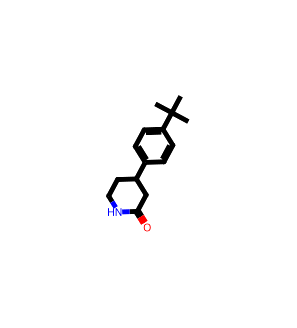 CC(C)(C)c1ccc(C2CCNC(=O)C2)cc1